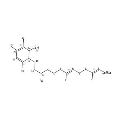 CCCC/C=C(\C)CC/C=C(\C)CCCC(C)CCC1C(C)=CC(C)=C(C)C1S